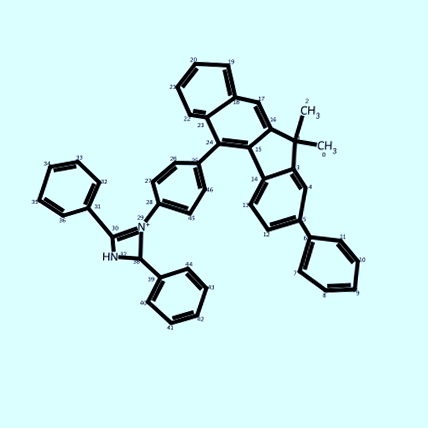 CC1(C)c2cc(-c3ccccc3)ccc2-c2c1cc1ccccc1c2-c1ccc([N+]2=C(c3ccccc3)NC2c2ccccc2)cc1